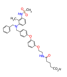 Cc1c(NS(C)(=O)=O)cccc1N(Cc1ccccc1)Cc1ccc(Oc2cccc(OCCNC(=O)CCCC(=O)O)c2)cc1